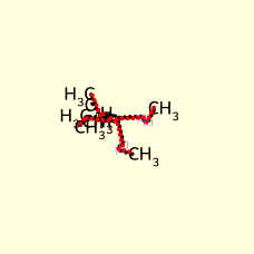 CCCCC/C=C\C/C=C\CCCCCCCCC1(CCCCCCCC/C=C\C/C=C\CCCCC)CCC2(CC1)C[C@H]1C[C@@H](CCCCC(C)(C)CCCC)[C@@H](CCCCC(=O)CCCC)C[C@H]1C2